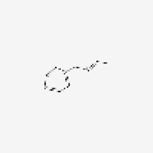 CC=NCc1ccccc1